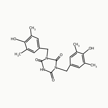 Cc1cc(Cn2c(=O)[nH]c(=O)n(Cc3cc(C)c(O)c(C)c3)c2=O)cc(C)c1O